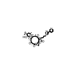 CC[C@H]1OC(=O)[C@H](C)C(=O)[C@H](C)[C@@H](OC2O[C@H](C)C[C@H](N(C)C)[C@H]2O)[C@@](C)(OC)C[C@@H](C)C(=O)[C@H](C)[C@H]2N(CCCCn3cnc(-c4cccnc4)c3)C(=O)O[C@]12CO